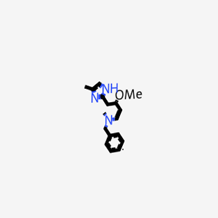 COC(/C=C\N(C)Cc1cc[c]cc1)Cc1nc(C)c[nH]1